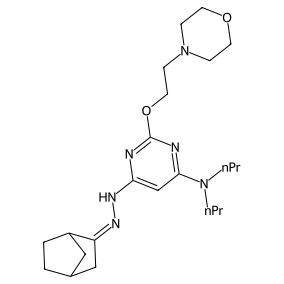 CCCN(CCC)c1cc(N/N=C2/CC3CCC2C3)nc(OCCN2CCOCC2)n1